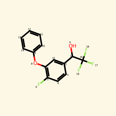 OC(c1ccc(F)c(Oc2ccccc2)c1)C(F)(F)F